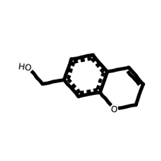 OCc1ccc2c(c1)OCC=C2